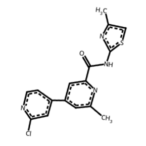 Cc1cc(-c2ccnc(Cl)c2)cc(C(=O)Nc2nc(C)cs2)n1